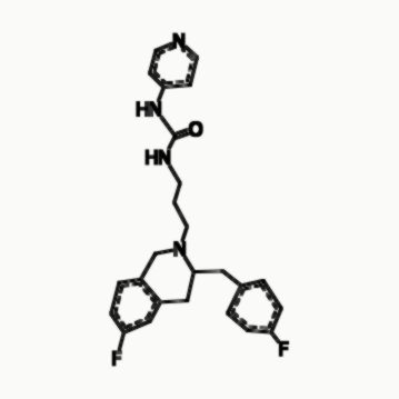 O=C(NCCCN1Cc2ccc(F)cc2CC1Cc1ccc(F)cc1)Nc1ccncc1